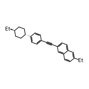 CCc1ccc2cc(C#Cc3ccc([C@H]4CC[C@H](CC)CC4)cc3)ccc2c1